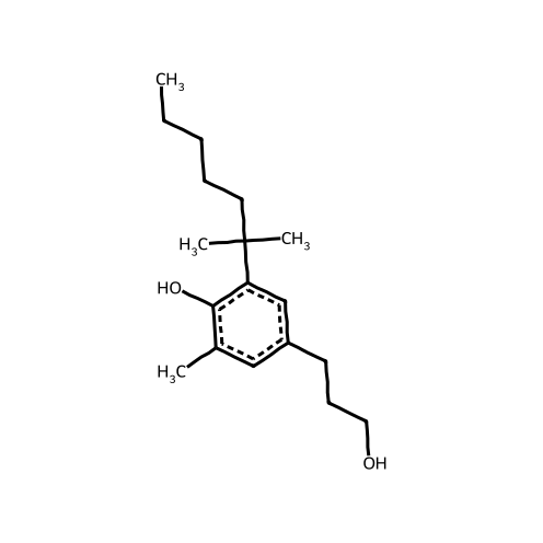 CCCCCC(C)(C)c1cc(CCCO)cc(C)c1O